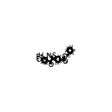 CCOc1ccc(C(=O)c2c(N)sc3c2CCN(C(=O)OCc2ccccc2)C3)cc1